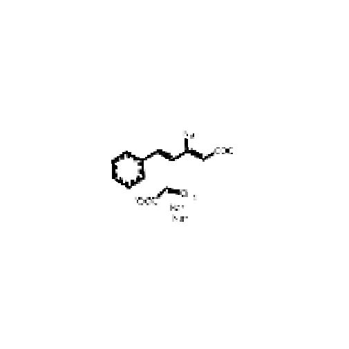 C=CC(=O)[O-].O=C([O-])C=[C]([Na])C=Cc1ccccc1.[Na+].[Na+]